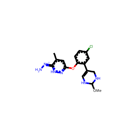 COC1NC=C(c2cc(Cl)ccc2Oc2cc(C)/c(=N/N)[nH]n2)CN1